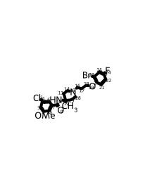 COc1ccc(Cl)cc1C(=O)NC1(C)CCN(CCCOc2ccc(F)cc2Br)CC1